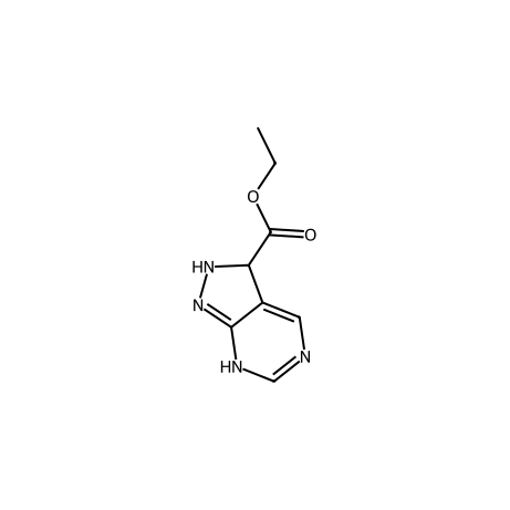 CCOC(=O)C1NN=C2NC=NC=C21